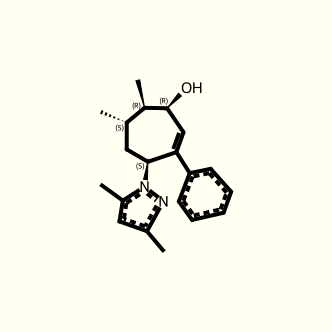 Cc1cc(C)n([C@H]2C[C@H](C)[C@@H](C)[C@@H](O)C=C2c2ccccc2)n1